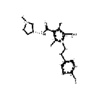 Cc1c(C(=O)N[C@@H]2CCN(C)C2)c(C)n(CCc2ccc(F)cc2)c1C(C)(C)C